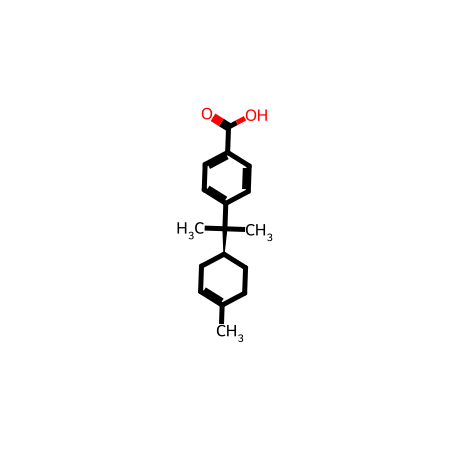 CC1=CC[C@@H](C(C)(C)c2ccc(C(=O)O)cc2)CC1